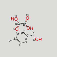 Cc1ccc(CO)cc1.O=C(O)C(=O)O